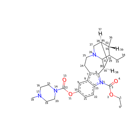 CCOC(=O)n1c2c(c3cc(OC(=O)N4CCN(C)CC4)ccc31)CCN1C[C@@H]3C[C@@H]2C1C(CC)[C@H]3C